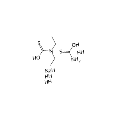 CCN(CC)C(O)=S.NC(O)=S.[HH].[HH].[HH].[NaH]